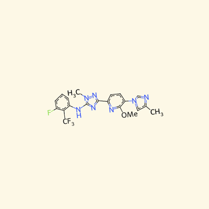 COc1nc(-c2nc(Nc3cccc(F)c3C(F)(F)F)n(C)n2)ccc1-n1cnc(C)c1